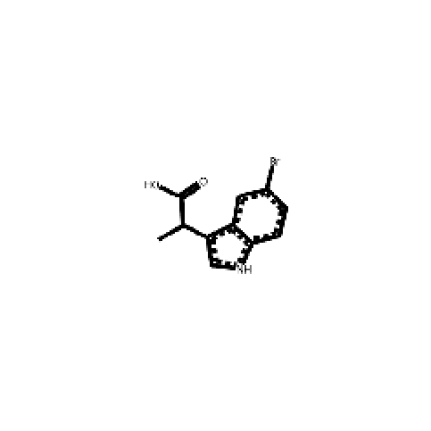 CC(C(=O)O)c1c[nH]c2ccc(Br)cc12